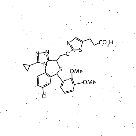 COc1cccc(C2SC(CCc3ncc(CCC(=O)O)s3)c3nnc(C4CC4)n3-c3ccc(Cl)cc32)c1OC